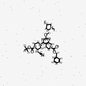 CN1C[C@H](F)C[C@H]1COc1nc2c(c(N3CCN(C(=O)OC(C)(C)C)[C@@H](CC#N)C3)n1)CCN(C(=O)OCc1ccccc1)C2